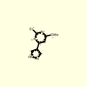 CCc1nc(OC)cc(-c2cn[nH]c2)n1